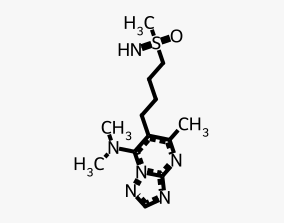 Cc1nc2ncnn2c(N(C)C)c1CCCCS(C)(=N)=O